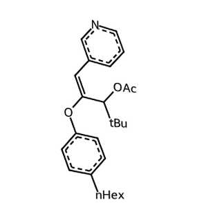 CCCCCCc1ccc(O/C(=C/c2cccnc2)C(OC(C)=O)C(C)(C)C)cc1